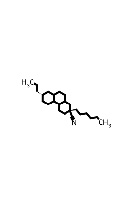 CCCCCC[C@@]1(C#N)CCC2C(CCC3C[C@@H](CCC)CCC32)C1